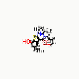 CCCCc1cc(O)c2sc3nc(C(CC)CCCC)n(CC4CCCO4)c(=O)c3c2c1